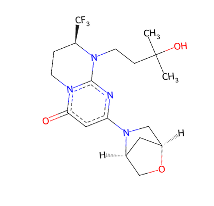 CC(C)(O)CCN1c2nc(N3C[C@@H]4C[C@H]3CO4)cc(=O)n2CC[C@H]1C(F)(F)F